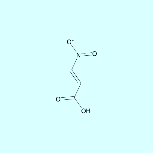 O=C(O)C=C[N+](=O)[O-]